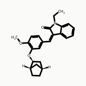 CCN1C(=O)/C(=C\c2ccc(OC)c(O[C@H]3C[C@@H]4CC[C@H]3C4)c2)c2ccccc21